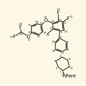 CCCCC[C@H]1CC[C@H](c2ccc(-c3cc(F)c(F)c(Oc4ccc(OC(F)F)cc4)c3C)cc2)CC1